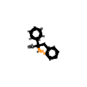 CC(C)(C)C(P)(Cc1ccccc1)c1ccccc1